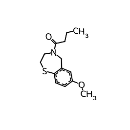 CCCC(=O)N1CCSc2ccc(OC)cc2C1